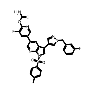 Cc1ccc(S(=O)(=O)n2cc(-c3cnn(Cc4cccc(F)c4)c3)c3cc(-c4cnc(OC(N)=O)c(F)c4)cnc32)cc1